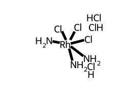 Cl.Cl.Cl.[NH2][Rh]([NH2])([NH2])([Cl])([Cl])[Cl]